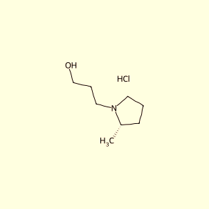 C[C@H]1CCCN1CCCO.Cl